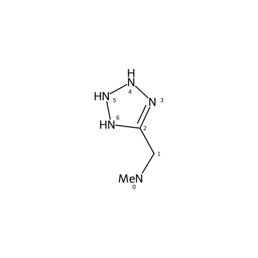 CNCC1=NNNN1